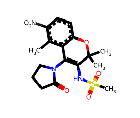 Cc1c([N+](=O)[O-])ccc2c1C(N1CCCC1=O)=C(NS(C)(=O)=O)C(C)(C)O2